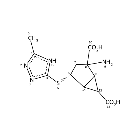 Cc1nnc(S[C@@H]2CC(N)(C(=O)O)C3C(C(=O)O)C32)[nH]1